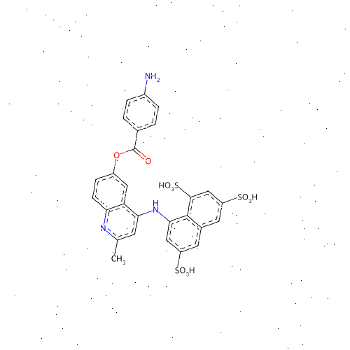 Cc1cc(Nc2cc(S(=O)(=O)O)cc3cc(S(=O)(=O)O)cc(S(=O)(=O)O)c23)c2cc(OC(=O)c3ccc(N)cc3)ccc2n1